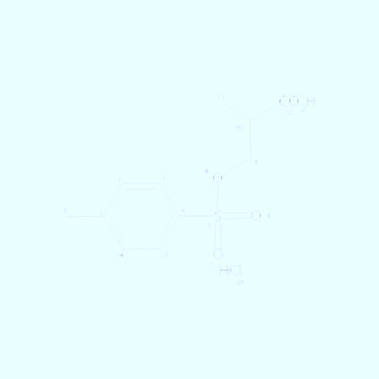 Cc1ccc(S(=O)(=O)OCC(C)C(=O)O)cc1.Cl